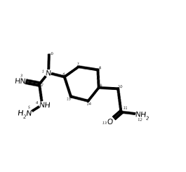 CN(C(=N)NN)C1CCC(CC(N)=O)CC1